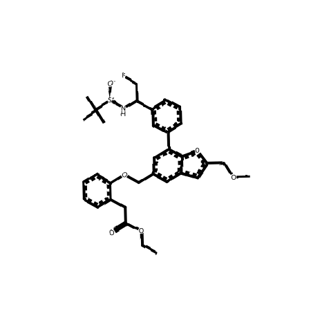 CCOC(=O)Cc1ccccc1OCc1cc(-c2cccc(C(CF)N[S@+]([O-])C(C)(C)C)c2)c2oc(COC)cc2c1